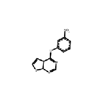 O=[N+]([O-])c1cccc(OC2=NC=NC3SC=CC23)c1